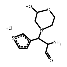 Cl.NC(C=O)C(c1ccsc1)N1CCOC(O)C1